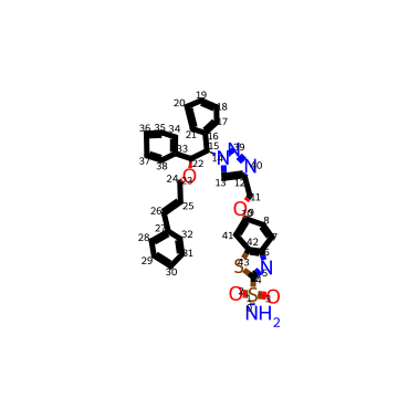 NS(=O)(=O)c1nc2ccc(OCc3cn([C@@H](c4ccccc4)[C@@H](OCC=Cc4ccccc4)c4ccccc4)nn3)cc2s1